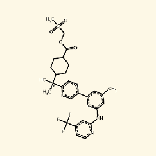 Cc1cc(Nc2cc(C(F)(F)F)ccn2)nc(-c2ccc([C@](C)(O)C3CCC(C(=O)OCS(C)(=O)=O)CC3)nc2)c1